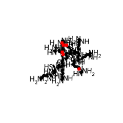 C[C@H](CCCNC(=N)N)C(=O)N[C@H](CCCCC(=N)N)C(=O)N[C@H](CCCNC(=N)N)C(=O)N[C@H](CCCCC(=N)N)C(=O)N[C@H](CCCNC(=N)N)C(=O)N[C@H](CCCCNC(=N)N)C(=O)N[C@H](CCCNC(=N)N)C(=O)N[C@H](CS)C(=O)N[C@H](CCCCN)C(N)=O